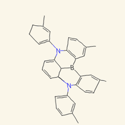 CC1=CC(N2C3=CC=CC4(C)C3B(c3cc(C)ccc32)c2cc(C)ccc2N4c2cccc(C)c2)=CCC1